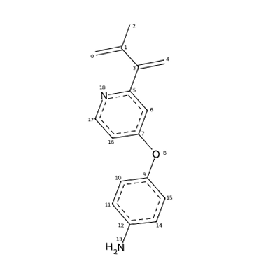 C=C(C)C(=C)c1cc(Oc2ccc(N)cc2)ccn1